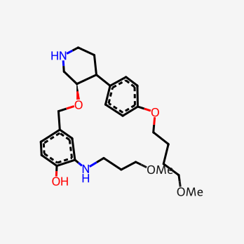 COCCCCOc1ccc(C2CCNC[C@@H]2OCc2ccc(O)c(NCCCOC)c2)cc1